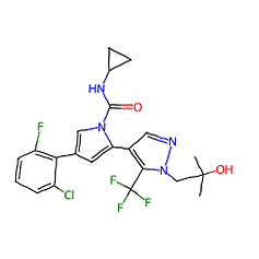 CC(C)(O)Cn1ncc(-c2cc(-c3c(F)cccc3Cl)cn2C(=O)NC2CC2)c1C(F)(F)F